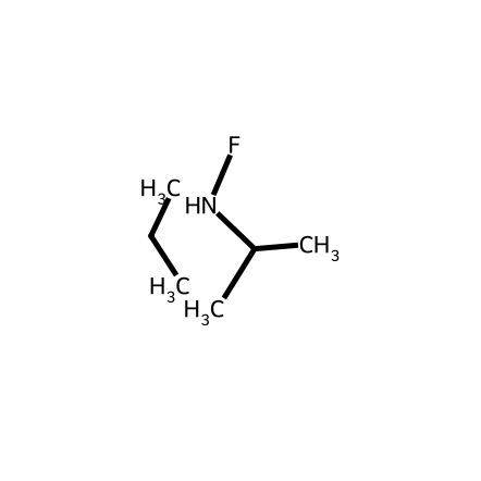 CC(C)NF.CCC